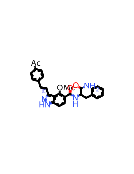 COc1c(C(=O)NC(Cc2ccccc2)C(N)=O)ccc2[nH]nc(/C=C/c3ccc(C(C)=O)cc3)c12